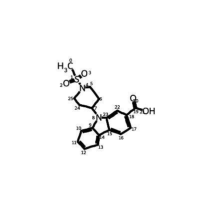 CS(=O)(=O)N1CCC(n2c3ccccc3c3ccc(C(=O)O)cc32)CC1